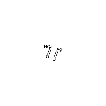 [O]=[Ag].[O]=[GaH]